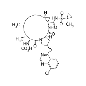 C[C@@H]1CC/C=C\[C@@H]2C[C@@]2(C(=O)NS(=O)(=O)C2(C)CC2)NC(=O)[C@@H]2C[C@@H](Oc3ncnc4c(Cl)cccc34)CN2C(=O)[C@@H](NC(=O)O)[C@H](C)C1